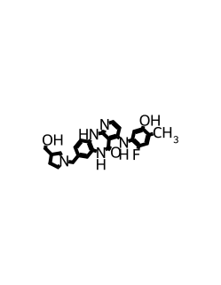 Cc1cc(F)c(Nc2ccnc3c2C(=O)Nc2cc(CN4CCC(CO)C4)ccc2N3)cc1O